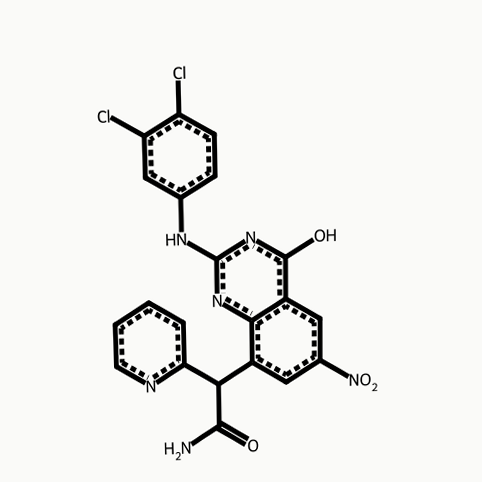 NC(=O)C(c1ccccn1)c1cc([N+](=O)[O-])cc2c(O)nc(Nc3ccc(Cl)c(Cl)c3)nc12